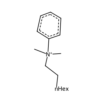 CCCCCCCC[N+](C)(C)c1ccccc1